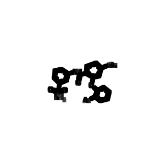 CC(=O)c1ccccc1Oc1cc(C(C)(C)C)ccc1C(=O)Nc1cccc(S(N)(=O)=O)c1